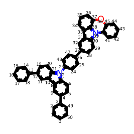 c1ccc(-c2ccc3c(c2)c2cc(-c4ccccc4)ccc2n3-c2ccc(-c3ccc4c(c3)c3cccc5c3n4-c3ccccc3O5)cc2)cc1